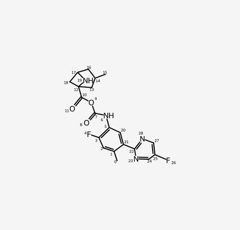 Cc1cc(F)c(NC(=O)OC(=O)C23CC(C)CC(C2)N3)cc1-c1ncc(F)cn1